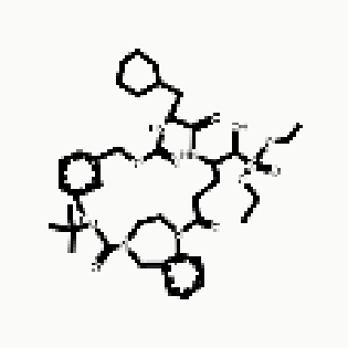 CCOP(=O)(OCC)C(O)C(CCC(=O)N1CCN(C(=O)OC(C)(C)C)Cc2ccccc21)NC(=O)C(CC1CCCCC1)NC(=O)OCc1cccc(Cl)c1